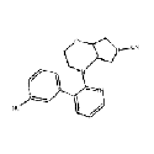 N#Cc1cccc(-c2cccnc2N2CCOC3CN(C#N)CC32)c1